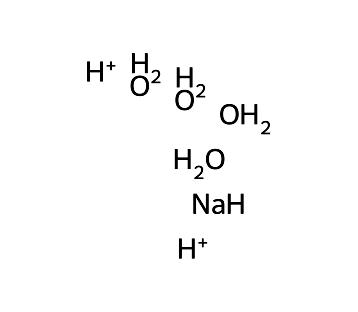 O.O.O.O.[H+].[H+].[NaH]